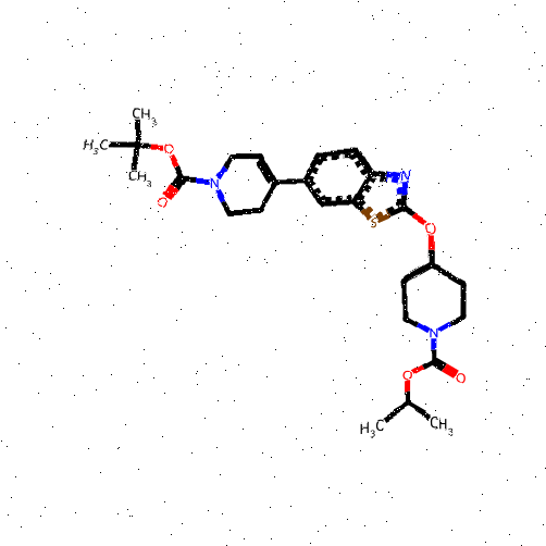 CC(C)OC(=O)N1CCC(Oc2nc3ccc(C4=CCN(C(=O)OC(C)(C)C)CC4)cc3s2)CC1